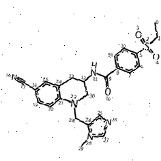 CCS(=O)(=O)c1ccc(C(=O)NC2Cc3cc(C#N)ccc3N(Cc3cncn3C)C2)cc1